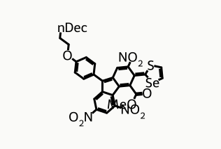 CCCCCCCCCCCCOc1ccc(C2=c3cc([N+](=O)[O-])c(=C4SC=C[Se]4)c(C(=O)OC)c3-c3c2cc([N+](=O)[O-])cc3[N+](=O)[O-])cc1